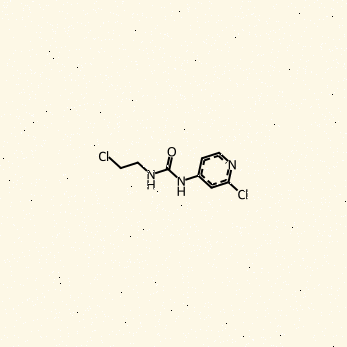 O=C(NCCCl)Nc1ccnc(Cl)c1